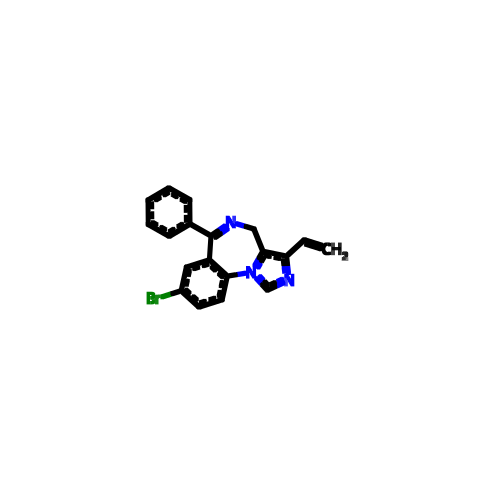 C=Cc1ncn2c1CN=C(c1ccccc1)c1cc(Br)ccc1-2